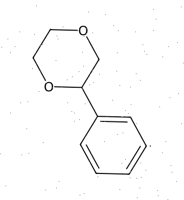 [c]1cccc(C2COCCO2)c1